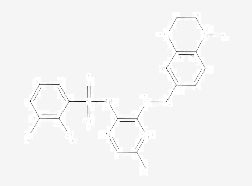 Cc1cnc(NS(=O)(=O)c2cccc(Cl)c2Cl)c(OCc2ccc3c(c2)OCCN3C)n1